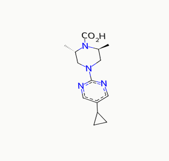 C[C@H]1CN(c2ncc(C3CC3)cn2)C[C@H](C)N1C(=O)O